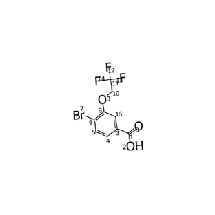 O=C(O)c1ccc(Br)c(OCC(F)(F)F)c1